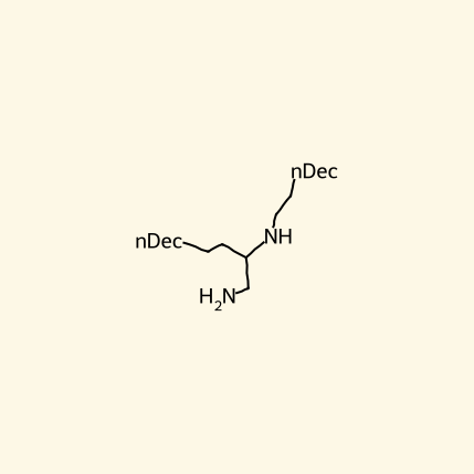 CCCCCCCCCCCCNC(CN)CCCCCCCCCCCC